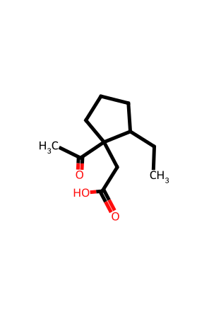 CCC1CCCC1(CC(=O)O)C(C)=O